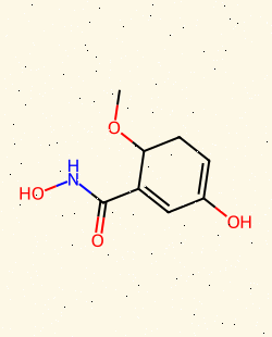 COC1CC=C(O)C=C1C(=O)NO